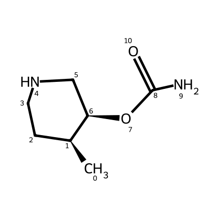 C[C@H]1CCNC[C@H]1OC(N)=O